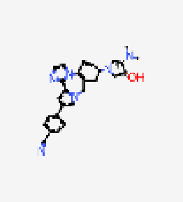 CN(C)[C@H]1CN(C2C=CC3=C(C2)Cn2cc(-c4ccc(C#N)cc4)cc2-c2nccn23)C[C@H]1O